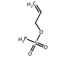 C=CCOS(=O)(=O)P